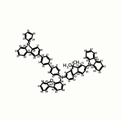 CC1(C)c2cc(N(c3ccc(-c4ccc(-c5ccc6c(c5)c5ccccc5n6-c5ccccc5)cc4)cc3)c3cccc4c3oc3ccccc34)ccc2-c2ccc(-n3c4ccccc4c4ccccc43)cc21